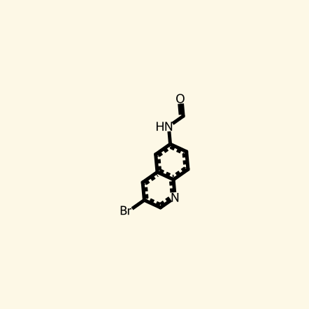 O=CNc1ccc2ncc(Br)cc2c1